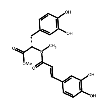 COC(=O)[C@H](Cc1ccc(O)c(O)c1)N(C)C(=O)C=Cc1ccc(O)c(O)c1